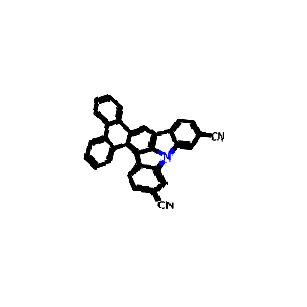 N#Cc1ccc2c3cc4c5ccccc5c5ccccc5c4c4c5ccc(C#N)cc5n(c2c1)c34